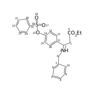 CCOC(=O)CC(NCc1ccccc1)c1ccc(OS(=O)(=O)c2ccccc2)cc1